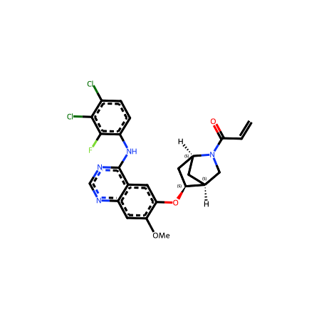 C=CC(=O)N1C[C@@H]2C[C@H]1C[C@@H]2Oc1cc2c(Nc3ccc(Cl)c(Cl)c3F)ncnc2cc1OC